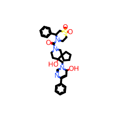 O=C(N1CC[C@@](O)(CN2C=NC(c3ccccc3)=CC2O)C2(CCCC2)C1)N1CCS(=O)(=O)CC1c1ccccc1